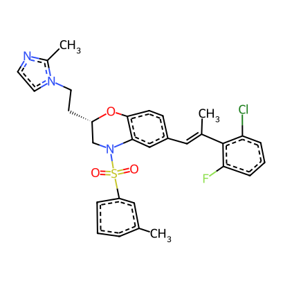 C/C(=C\c1ccc2c(c1)N(S(=O)(=O)c1cccc(C)c1)C[C@H](CCn1ccnc1C)O2)c1c(F)cccc1Cl